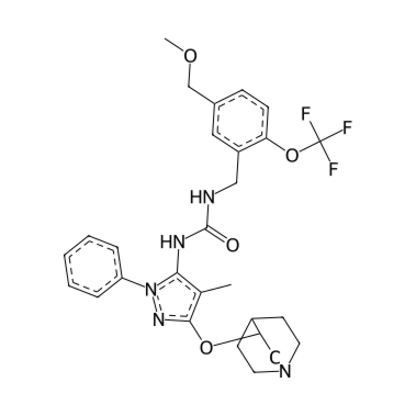 COCc1ccc(OC(F)(F)F)c(CNC(=O)Nc2c(C)c(OC3CN4CCC3CC4)nn2-c2ccccc2)c1